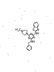 CN1CCN(c2nc(NCc3ccccc3)nc(Nc3nc4ccccc4s3)n2)CC1